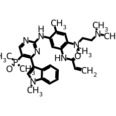 C=CC(=O)Nc1cc(Nc2ncc(P(C)(C)=O)c(-c3cn(C)c4ccccc34)n2)c(C)cc1N(C)CCN(C)C